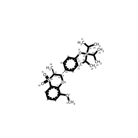 COc1cccc2c1O[C@@H](c1ccc(O[Si](C(C)C)(C(C)C)C(C)C)cc1)[C@H](C)S2(=O)=O